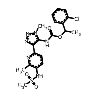 Cc1nc(-c2nnn(C)c2NC(=O)OC(C)c2ccccc2Cl)ccc1NS(C)(=O)=O